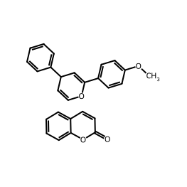 COc1ccc(C2=CC(c3ccccc3)C=CO2)cc1.O=c1ccc2ccccc2o1